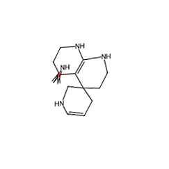 C1=CNCC2(C1)CCNC1=C2C2(C=CNC=C2)CCN1